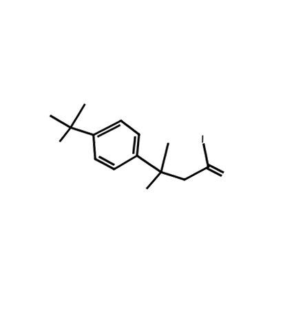 C=C(I)CC(C)(C)c1ccc(C(C)(C)C)cc1